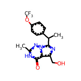 Cc1nn2c(C(C)c3ccc(OC(F)(F)F)cc3)nc(CO)c2c(=O)[nH]1